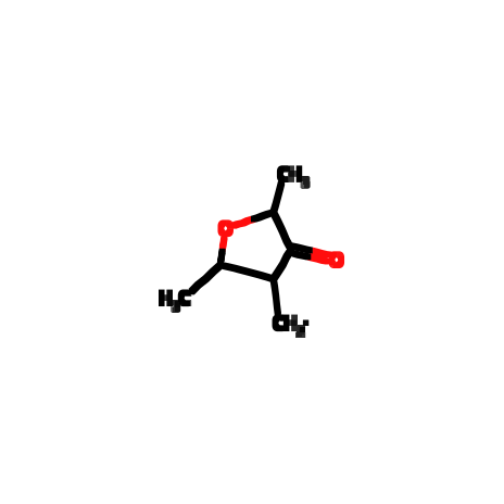 [CH2]C1C(=O)C(C)OC1C